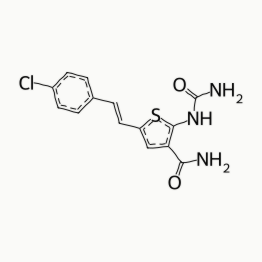 NC(=O)Nc1sc(/C=C/c2ccc(Cl)cc2)cc1C(N)=O